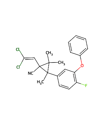 CC1(C)C(C#N)(C=C(Cl)Cl)C1(C)c1ccc(F)c(Oc2ccccc2)c1